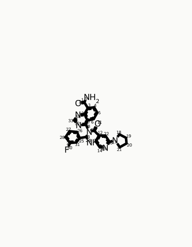 NC(=O)c1cccc2c(N(C(=O)c3ccnc(N4CCCC4)c3)C(N)c3cccc(F)c3)ncnc12